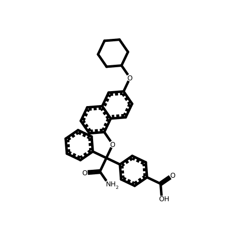 NC(=O)C(Oc1cccc2cc(OC3CCCCC3)ccc12)(c1ccccc1)c1ccc(C(=O)O)cc1